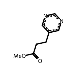 COC(=O)CCc1cncnc1